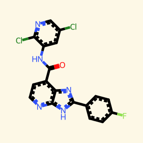 O=C(Nc1cc(Cl)cnc1Cl)c1ccnc2[nH]c(-c3ccc(F)cc3)nc12